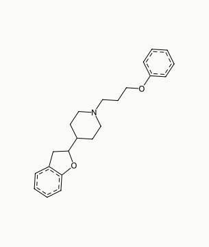 c1ccc(OCCCN2CCC(C3Cc4ccccc4O3)CC2)cc1